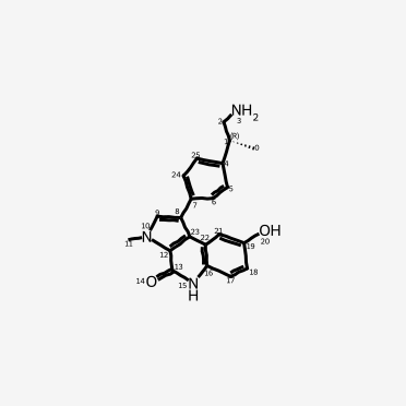 C[C@@H](CN)c1ccc(-c2cn(C)c3c(=O)[nH]c4ccc(O)cc4c23)cc1